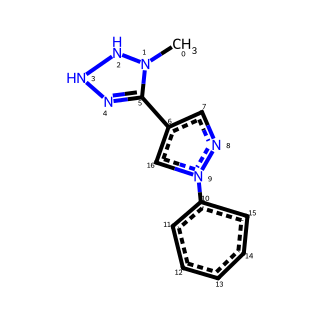 CN1NNN=C1c1cnn(-c2ccccc2)c1